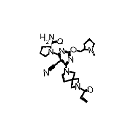 C=CC(=O)N1CC2(CCN(c3nc(OCC4CCCN4C)nc(N4CCC[C@@H]4C(N)=O)c3C#N)C2)C1